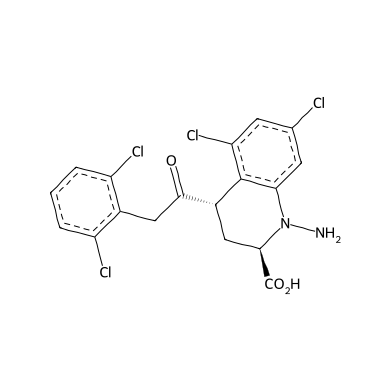 NN1c2cc(Cl)cc(Cl)c2[C@@H](C(=O)Cc2c(Cl)cccc2Cl)C[C@@H]1C(=O)O